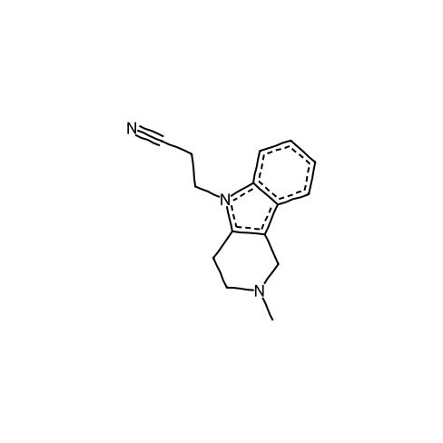 CN1CCc2c(c3ccccc3n2CCC#N)C1